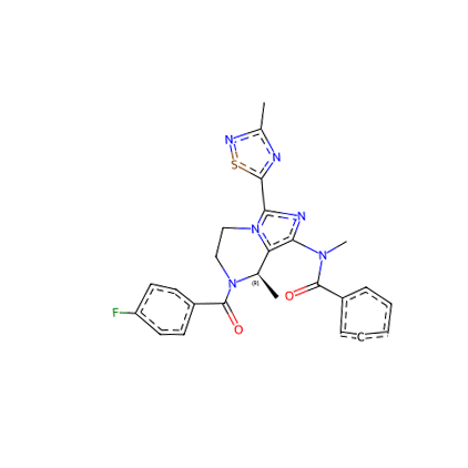 Cc1nsc(-c2nc(N(C)C(=O)c3ccccc3)c3n2CCN(C(=O)c2ccc(F)cc2)[C@@H]3C)n1